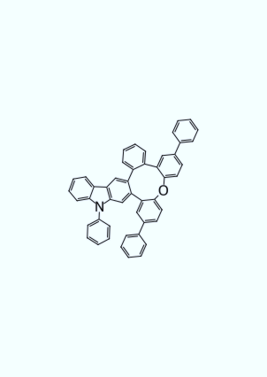 c1ccc(-c2ccc3oc4ccc(-c5ccccc5)cc4c4cc5c(cc4c4ccccc4c3c2)c2ccccc2n5-c2ccccc2)cc1